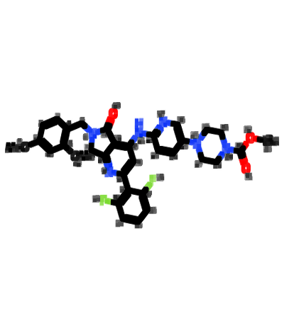 COc1ccc(CN2Cc3nc(-c4c(F)cccc4F)cc(Nc4ccc(N5CCN(C(=O)OC(C)(C)C)CC5)cn4)c3C2=O)c(OC)c1